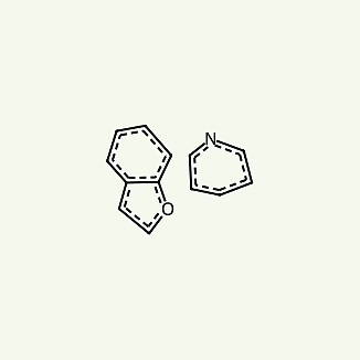 c1ccc2occc2c1.c1ccncc1